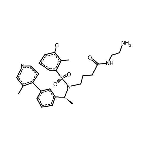 Cc1cnccc1-c1cccc([C@H](C)N(CCCC(=O)NCCN)S(=O)(=O)c2cccc(Cl)c2C)c1